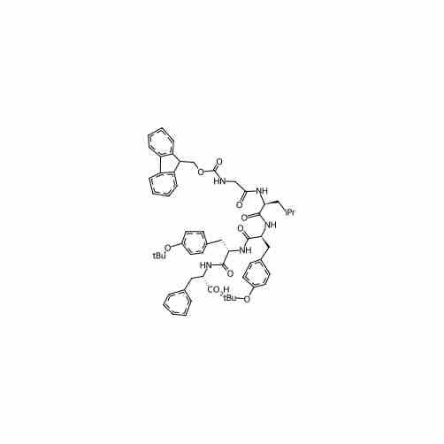 CC(C)C[C@H](NC(=O)CNC(=O)OCC1c2ccccc2-c2ccccc21)C(=O)N[C@@H](Cc1ccc(OC(C)(C)C)cc1)C(=O)N[C@@H](Cc1ccc(OC(C)(C)C)cc1)C(=O)N[C@@H](Cc1ccccc1)C(=O)O